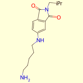 CC(C)CN1C(=O)c2ccc(NCCCCCN)cc2C1=O